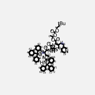 CC(OC(=O)OCCC(C)(C)C)OC(=O)C1=C(/C=C\c2cccnc2)CS[C@@H]2[C@H](NC(=O)/C(=N/OC(c3ccccc3)(c3ccccc3)c3ccccc3)c3csc(NC(c4ccccc4)(c4ccccc4)c4ccccc4)n3)C(=O)N12